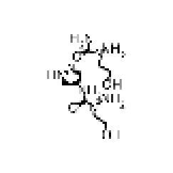 NC(=O)N(N)CCO.NC(=O)N(N)CCO.c1cn[nH]c1